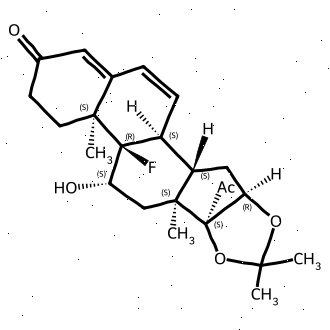 CC(=O)[C@@]12OC(C)(C)O[C@@H]1C[C@H]1[C@@H]3C=CC4=CC(=O)CC[C@]4(C)[C@@]3(F)[C@@H](O)C[C@@]12C